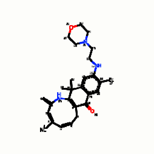 C=C1/C=C(C#N)\C=C/CC2=C(N1)C(C)(C)c1cc(NCCN3CCOCC3)c(CC)cc1C2=O